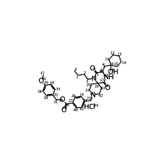 CCCCN1C(=O)[C@@H](CC2(O)CCCCC2)NC(=O)C12CCN(Cc1ccc(C(=O)OCc3ccc(OC)cc3)cc1)CC2.Cl